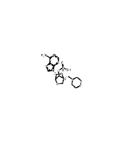 Nc1ncnc2c1ncn2[C@@H]1O[C@@]2(CN3CCOCC3)COC1C2O[PH](=O)O